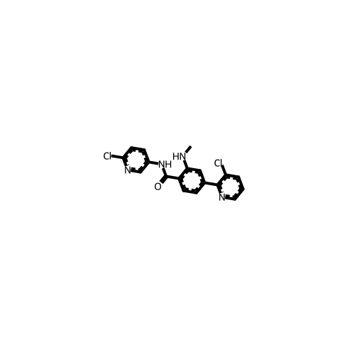 CNc1cc(-c2ncccc2Cl)ccc1C(=O)Nc1ccc(Cl)nc1